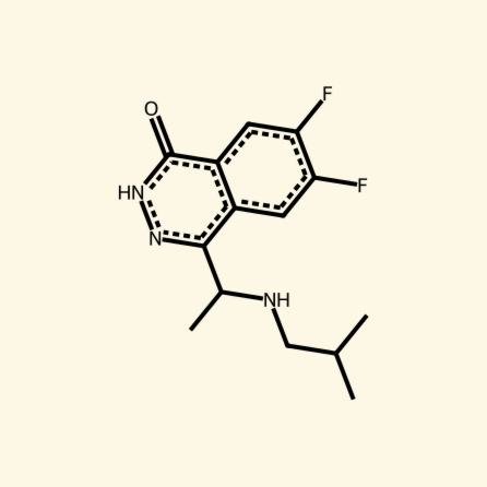 CC(C)CNC(C)c1n[nH]c(=O)c2cc(F)c(F)cc12